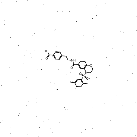 Cc1ccc(F)cc1S(=O)(=O)N1CCOc2ccc(C(=O)NCCc3ccc(C(=O)O)cc3)cc21